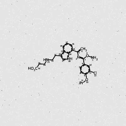 C=C(/N=C(\ON)c1ccc(OC(C)C)c(Cl)c1)c1cccc2c(CCNCCC(=O)O)c[nH]c12